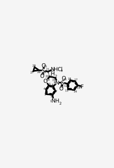 Cl.Nc1ccc2c(c1)N(S(=O)(=O)c1ccc(F)cc1)C[C@@H](C(N)S(=O)(=O)C1CC1)O2